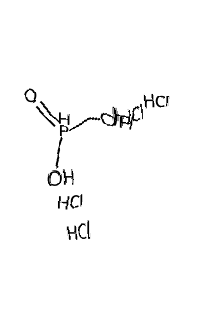 Cl.Cl.Cl.Cl.O=[PH](O)O